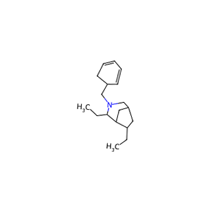 CCC1CC2CC1C(CC)N(CC1C=CC=CC1)C2